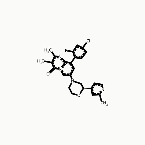 Cc1cc([C@@H]2CN(c3cc(-c4ccc(Cl)cc4F)c4nc(C)c(C)c(=O)n4c3)CCO2)ccn1